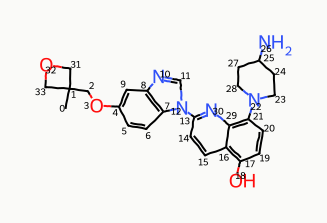 CC1(COc2ccc3c(c2)ncn3-c2ccc3c(O)ccc(N4CCC(N)CC4)c3n2)COC1